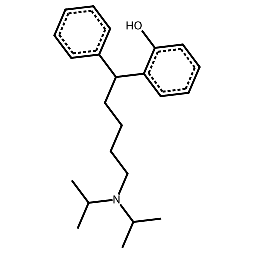 CC(C)N(CCCCC(c1ccccc1)c1ccccc1O)C(C)C